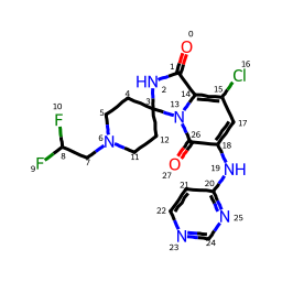 O=C1NC2(CCN(CC(F)F)CC2)n2c1c(Cl)cc(Nc1ccncn1)c2=O